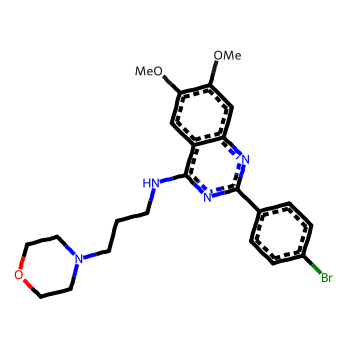 COc1cc2nc(-c3ccc(Br)cc3)nc(NCCCN3CCOCC3)c2cc1OC